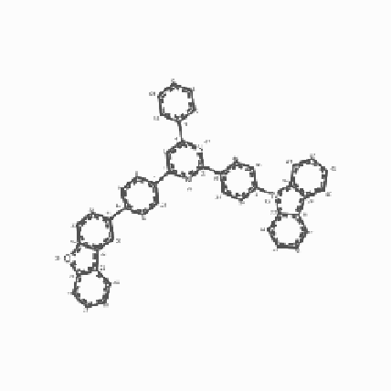 c1ccc(-c2cc(-c3ccc(-c4ccc5oc6ccccc6c5c4)cc3)nc(-c3ccc(-n4c5ccccc5c5ccccc54)cc3)n2)cc1